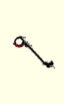 COc1cccc2cc(-c3nc([C@H]4CC[C@H](C(=O)NCCOCCOCCOCCOCCOCCOCCOCCOCCOCCNC(=O)O[C@@H]5CC[C@@H](C[C@@H](N)[C@@H]6CC(=O)[C@H](C)/C=C(\C)[C@@H](O)[C@@H](OC)C(=O)[C@H](C)C[C@H](C)/C=C/C=C/C=C(\C)[C@@H](OC)C[C@@H]7CC[C@@H](C)[C@@](O)(O7)C(=O)C(=O)N7CCCC[C@H]7C(=O)O6)C[C@H]5OC)CC4)n4ncnc(N)c34)[nH]c12